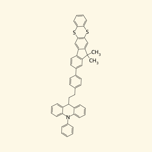 CC1(C)c2cc(-c3ccc(CCC4c5ccccc5N(c5ccccc5)c5ccccc54)cc3)ccc2-c2cc3c(cc21)Sc1ccccc1S3